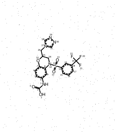 O=C(O)Nc1ccc2c(c1)N(S(=O)(=O)c1cccc(C(F)(F)F)c1)CC(Cn1cnnc1)O2